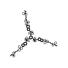 C=CC(=O)OCCCCOC(=O)Oc1ccc2cc(-c3noc(-c4cc(-c5nc(-c6ccc7cc(OC(=O)OCCCCOC(=O)C=C)ccc7c6)no5)cc(-c5nc(-c6ccc7cc(OC(=O)OCCCCOC(=O)C=C)ccc7c6)no5)c4)n3)ccc2c1